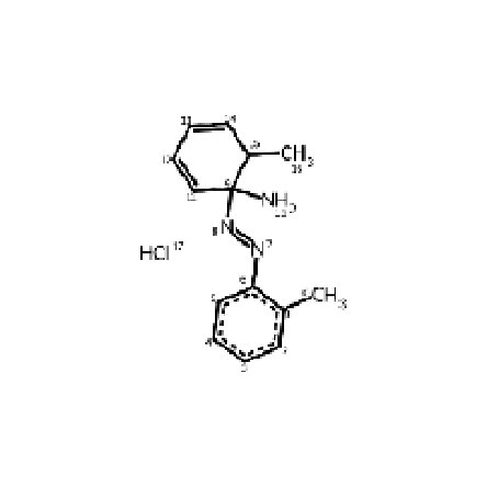 Cc1ccccc1N=NC1(N)C=CC=CC1C.Cl